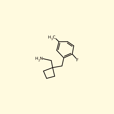 Cc1ccc(F)c(CC2(CN)CCC2)c1